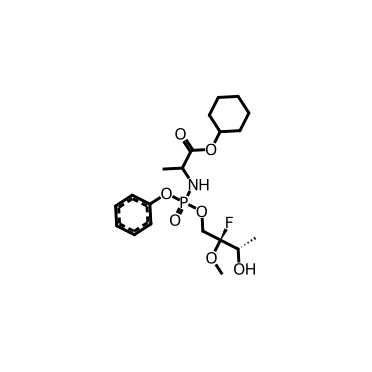 CO[C@](F)(COP(=O)(NC(C)C(=O)OC1CCCCC1)Oc1ccccc1)[C@H](C)O